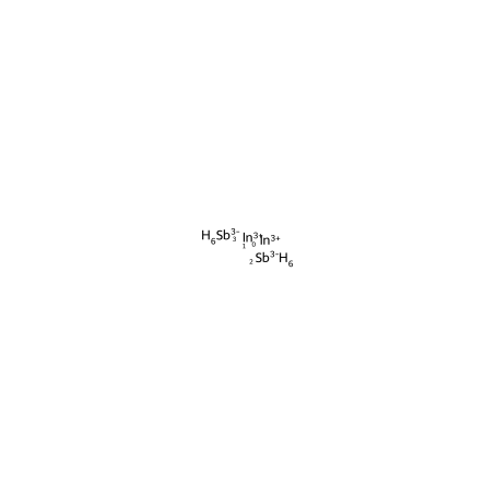 [In+3].[In+3].[SbH6-3].[SbH6-3]